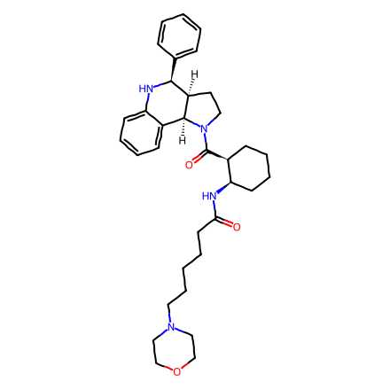 O=C(CCCCCN1CCOCC1)N[C@@H]1CCCC[C@@H]1C(=O)N1CC[C@@H]2[C@H](c3ccccc3)Nc3ccccc3[C@@H]21